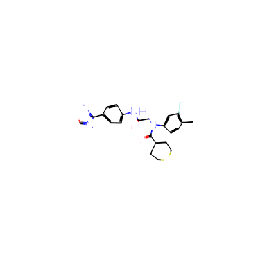 Cc1ccc(N(CC(=O)Nc2ccc(-c3ncon3)cc2)C(=O)C2CCSCC2)cc1F